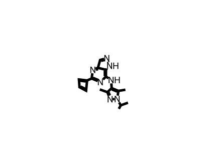 Cc1nn(C(C)C)c(C)c1Nc1nc(C2=CC=C2)nc2cn[nH]c12